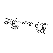 CC[C@H](NC(=O)[C@H]1C[C@@H](NCCOCCOCCC(=O)NCCn2nc3c(c2C#N)-c2cnc(N)c(n2)N2CCC[C@@H]2c2cc(F)ccc2C(=O)N(C)C3)CN1C(=O)[C@H](NC(=O)[C@@H](C)NC)C(C)(C)C)c1ccccc1